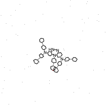 c1ccc(-c2ccc(N(c3ccc(-c4ccccc4)cc3)c3ccc4c(c3)[nH]cnc3ccc(N(c5ccc(-c6ccccc6)cc5)c5ccc(-c6ccccc6)cc5)cc3n4-c3ccc(-c4ccccc4)cc3)cc2)cc1